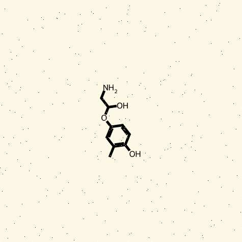 Cc1cc(OC(O)CN)ccc1O